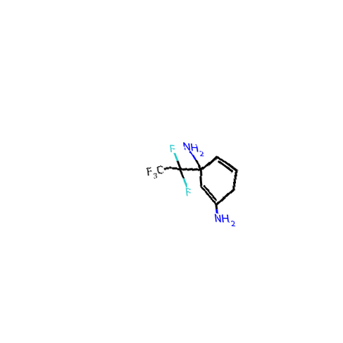 NC1=CC(N)(C(F)(F)C(F)(F)F)C=CC1